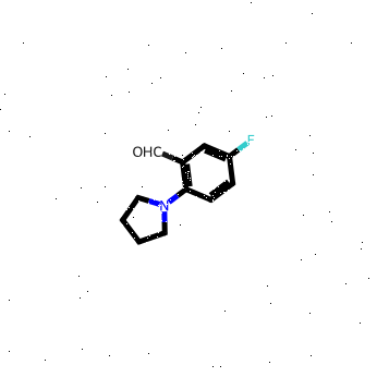 O=Cc1cc(F)ccc1N1CCCC1